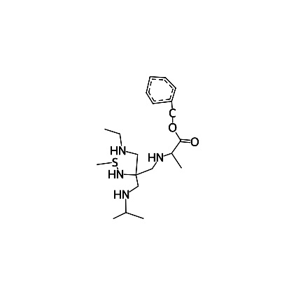 CCNCC(CNC(C)C)(CNC(C)C(=O)OCc1ccccc1)NSC